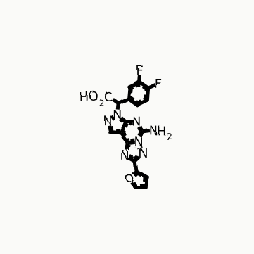 Nc1nc2c(cnn2C(C(=O)O)c2ccc(F)c(F)c2)c2nc(-c3ccco3)nn12